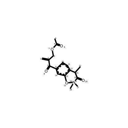 C=C(COC(C)=O)C(=O)c1ccc2c(c1)O[N+](C)(C)C(=O)C2C